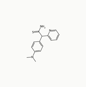 CN(C)c1ccc(C(C(N)=S)c2ccccn2)cc1